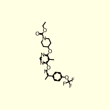 CCOC(=O)N1CCC(Oc2ncnc(ON=C(C)c3ccc(OC(F)(F)F)cc3)c2C)CC1